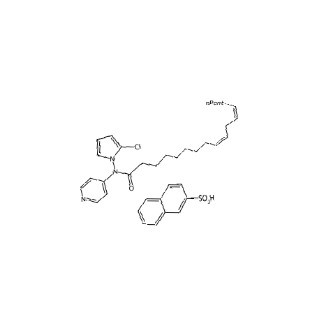 CCCCC/C=C\C/C=C\CCCCCCCC(=O)N(c1ccncc1)n1cccc1Cl.O=S(=O)(O)c1ccc2ccccc2c1